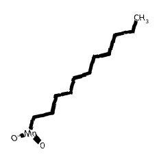 CCCCCCCCCC[CH2][Mn](=[O])[O-]